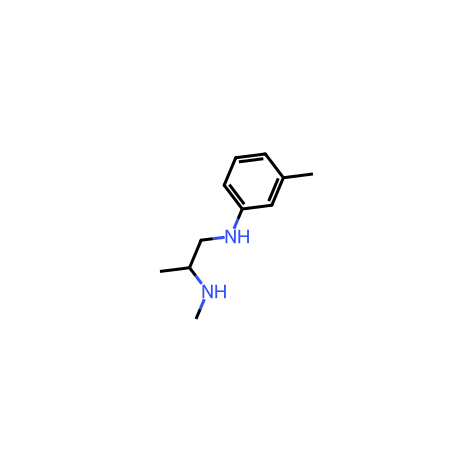 CNC(C)CNc1cccc(C)c1